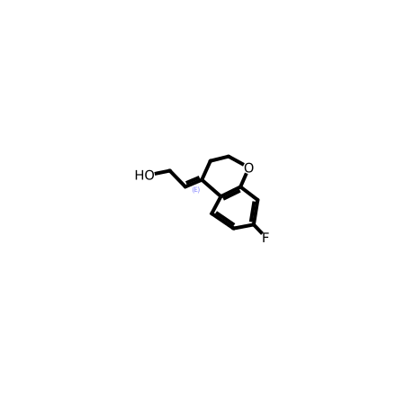 OC/C=C1\CCOc2cc(F)ccc21